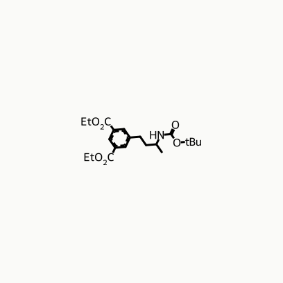 CCOC(=O)c1cc(CCC(C)NC(=O)OC(C)(C)C)cc(C(=O)OCC)c1